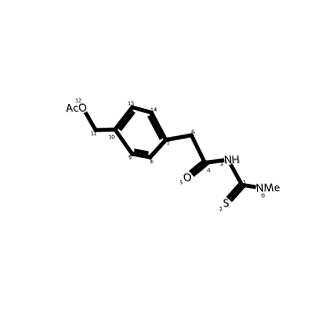 CNC(=S)NC(=O)Cc1ccc(COC(C)=O)cc1